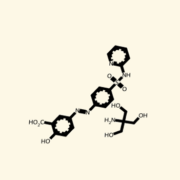 NC(CO)(CO)CO.O=C(O)c1cc(N=Nc2ccc(S(=O)(=O)Nc3ccccn3)cc2)ccc1O